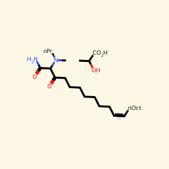 CC(O)C(=O)O.CCCCCCCC/C=C\CCCCCCCC(=O)C(C(N)=O)N(C)CCC